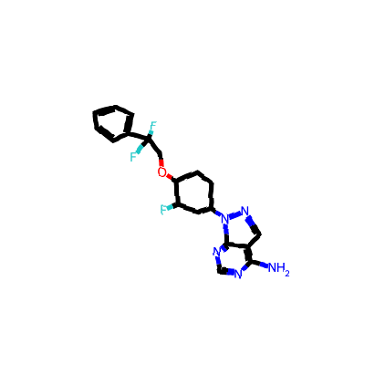 Nc1ncnc2c1cnn2C1CCC(OCC(F)(F)c2ccccc2)C(F)C1